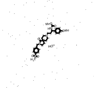 COC(=O)NC(CCN1CCC2(CC1)CCN(Cc1ccc(S(C)(=O)=O)cc1)C2=O)c1ccc(OC)cc1.Cl